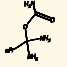 CCCC(N)(N)OC(N)=O